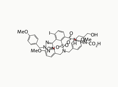 COc1ccc(CN(Cc2ccc(OC)cc2)S(=O)(=O)c2c(S(=O)(=O)NCC(CO)NC(=O)O)ccc(I)c2-c2nnn(Cc3ccc(OC)cc3)n2)cc1